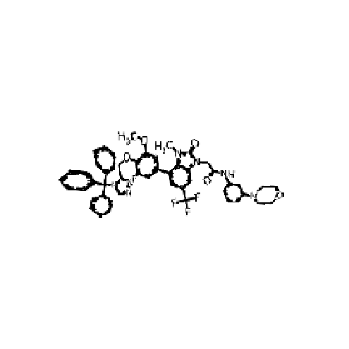 COc1cc(-c2cc(C(F)(F)F)cc3c2n(C)c(=O)n3CC(=O)Nc2cccc(N3CCOCC3)c2)cc(F)c1OCc1nncn1C(c1ccccc1)(c1ccccc1)c1ccccc1